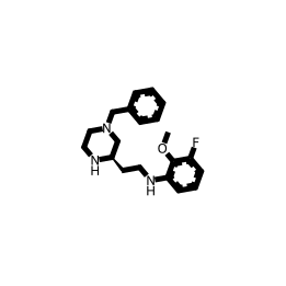 COc1c(F)cccc1NCC[C@@H]1CN(Cc2ccccc2)CCN1